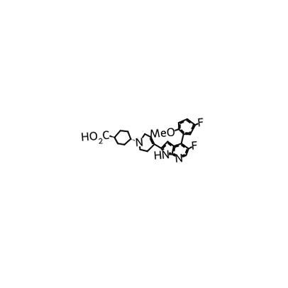 COc1ccc(F)cc1-c1c(F)cnc2[nH]c(C3=CCN([C@H]4CC[C@H](C(=O)O)CC4)CC3)cc12